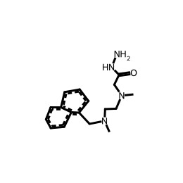 CN(CCN(C)Cc1cccc2ccccc12)CC(=O)NN